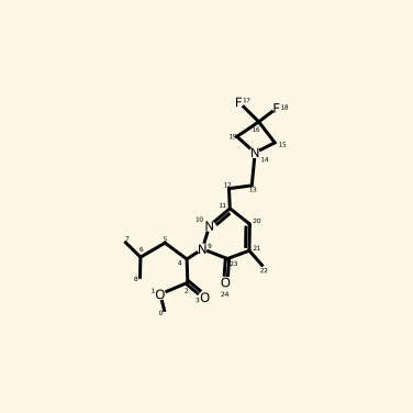 COC(=O)C(CC(C)C)n1nc(CCN2CC(F)(F)C2)cc(C)c1=O